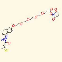 CC(C)(S)CC(=O)N/N=C1\CCCc2cc(OCCOCCOCCOCCOCCC(=O)ON3C(=O)CCC3=O)ccc21